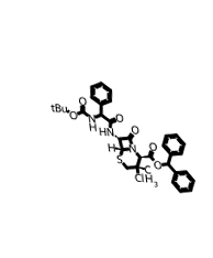 CC(C)(C)OC(=O)NC(C(=O)N[C@@H]1C(=O)N2[C@@H]1SC[C@@](C)(Cl)[C@@H]2C(=O)OC(c1ccccc1)c1ccccc1)c1ccccc1